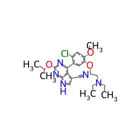 CCN(CC)CCOc1cc(-c2nc(OC(C)C)nc3[nH]cc(C#N)c23)c(Cl)cc1OC